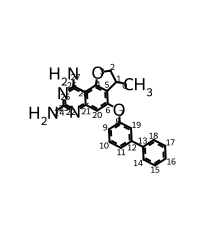 CC1COc2c1c(Oc1cccc(-c3ccccc3)c1)cc1nc(N)nc(N)c21